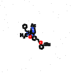 CC(=O)N1CC2CC(c3cccc(CCOc4ccccc4C(C)(C)C)c3)=C(C(=O)N(C)CCc3ccccc3)[C@@H](C1)N2